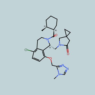 C[C@H]1CCCC[C@H]1C(=O)N1CCc2c(Cl)ccc(OCc3nncn3C)c2[C@H]1CN1CC2(CC2)CC1=O